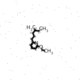 CCOc1cccc(CCCC(C)CC)n1